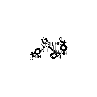 CC1(C)C(=O)Nc2cc(NC3=N[N+]4(NCCCN[N+]56C=CN=CC5=NC(Nc5ccc7c(c5)NC(=O)C7(C)C)=N6)C=CN=CC4=N3)ccc21